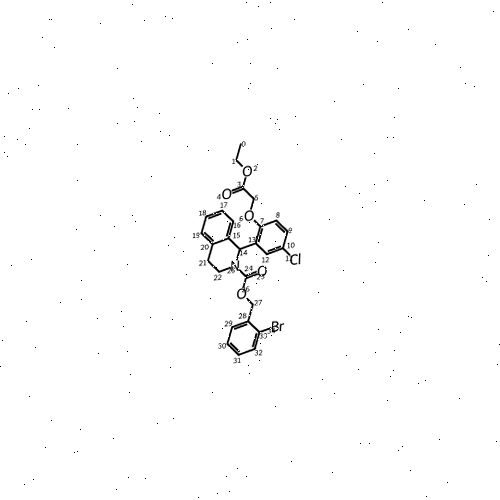 CCOC(=O)COc1ccc(Cl)cc1C1c2ccccc2CCN1C(=O)OCc1ccccc1Br